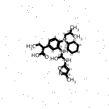 CCC(C(=O)O)c1ccc(N(CC(C)C)C2CCCCC2)c(NC(O)Nc2cc(C)no2)c1